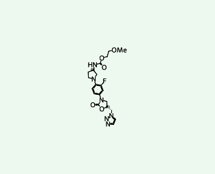 COCCOC(=O)N[C@@H]1CCN(c2ccc(N3C[C@H](Cn4ccnn4)OC3=O)cc2F)C1